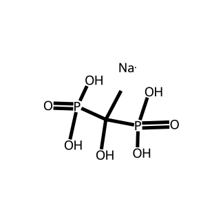 CC(O)(P(=O)(O)O)P(=O)(O)O.[Na]